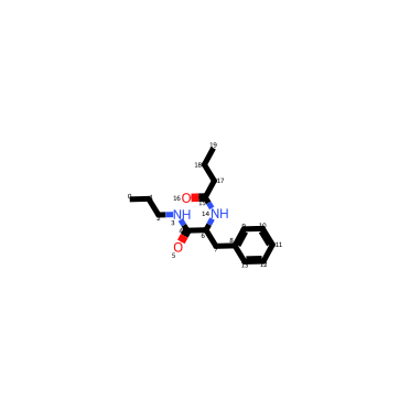 CCCNC(=O)C(Cc1ccccc1)NC(=O)CCC